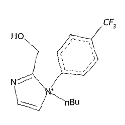 CCCC[N+]1(c2ccc(C(F)(F)F)cc2)C=CN=C1CO